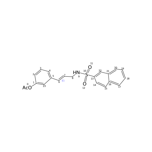 CC(=O)Oc1cccc(/C=C/CNS(=O)(=O)c2ccc3ccccc3c2)c1